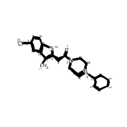 Cc1c(CC(=O)N2CCN(C3CCCCC3)CC2)sc2ccc(Cl)cc12